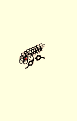 CCc1ccc([I+]c2ccc(CC)cc2)cc1.O=S(=O)([O-])C(F)(F)C(F)(F)C(F)(F)C(F)(F)C(F)(F)C(F)(F)C(F)(F)C(F)(F)F